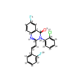 O=c1c2cc(F)ccc2nc(C=Cc2ccccc2F)n1-c1ccccc1Cl